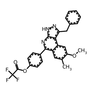 COc1cc2c(cc1C)c(-c1ccc(OC(=O)C(F)(F)F)cc1)nc1[nH]nc(Cc3ccccc3)c12